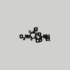 CCNC(=O)Oc1c(Cl)cc([N+](=O)[O-])cc1Cl